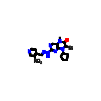 CCC1C(=O)N(C)c2cnc(N/N=C/c3ccncc3[N+](=O)[O-])nc2N1C1CCCC1